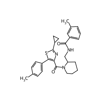 Cc1ccc(-c2sc(C3CC3)nc2C(=O)N2CCCCC2CNC(=O)c2cccc(C)c2)cc1